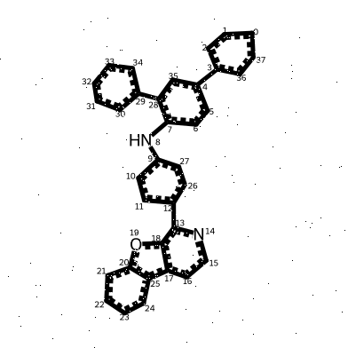 c1ccc(-c2ccc(Nc3ccc(-c4nccc5c4oc4ccccc45)cc3)c(-c3ccccc3)c2)cc1